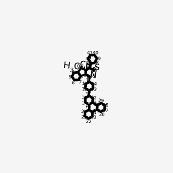 CC1(C)c2ccccc2-c2c(-c3ccc(-c4ccc5c6ccccc6c6ccccc6c5c4)cc3)nc3sc4ccccc4c3c21